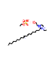 CCCCCCCC/C=C/CCCCCCCC1=[N+](CC)CCN1CCO.CCOS(=O)(=O)[O-]